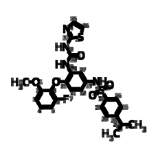 COc1cccc(F)c1Oc1ccc(NS(=O)(=O)c2ccc(C(C)C)cc2)cc1NC(=O)Nc1nccs1